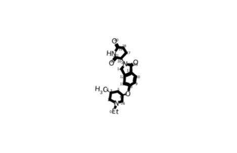 CCN1C[C@H](C)C[C@@H](Oc2ccc3c(c2)CN([C@H]2CCC(=O)NC2=O)C3=O)C1